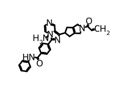 C=CC(=O)N1CC2=C(CC(C3=C4C=NC=C[N+]4(N)C(c4ccc(C(=O)Nc5ccccc5)cc4)=N3)C2)C1